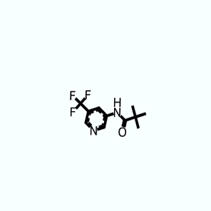 CC(C)(C)C(=O)Nc1cncc(C(F)(F)F)c1